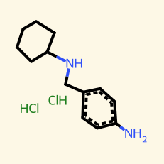 Cl.Cl.Nc1ccc(CNC2CCCCC2)cc1